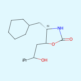 CC(C)C(O)CC1OC(=O)N[C@H]1CC1CCCCC1